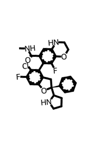 CNC(=O)c1cc2c(c(F)c1-c1c(Cl)c(F)cc3c1C[C@](c1ccccc1)(C1CCCN1)O3)OCCN2